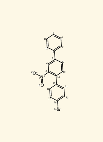 O=[N+]([O-])c1cc(-c2ccccc2)ccc1-c1ccc(Br)cc1